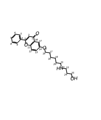 O=c1cc(-c2ccccc2)oc2ccc(OCCCCCCNCCCO)cc12